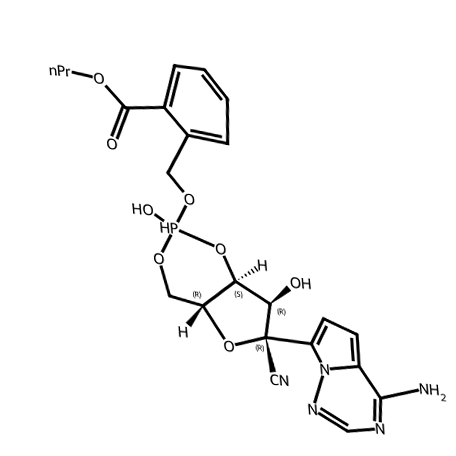 CCCOC(=O)c1ccccc1CO[PH]1(O)OC[C@H]2O[C@@](C#N)(c3ccc4c(N)ncnn34)[C@H](O)[C@@H]2O1